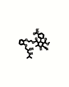 COC(=O)C1=C(C#N)NC(C)=C(C(=O)OCCOc2ccccc2OCC(O)CNC(C)C)C1c1cccc([N+](=O)[O-])c1